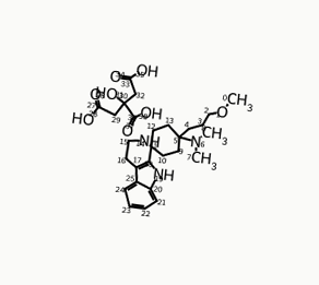 COCCCC1(N(C)C)CCC2(CC1)NCCc1c2[nH]c2ccccc12.O=C(O)CC(O)(CC(=O)O)C(=O)O